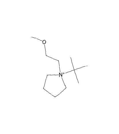 COCC[N+]1(C(C)(C)C)CCCC1